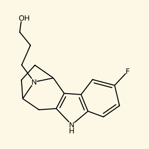 OCCCN1C2CCC1c1c([nH]c3ccc(F)cc13)C2